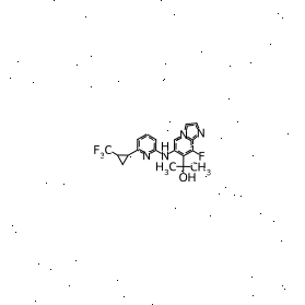 CC(C)(O)c1c(Nc2cccc(C3CC3C(F)(F)F)n2)cn2ccnc2c1F